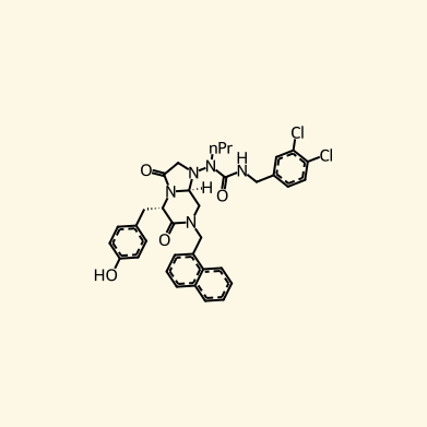 CCCN(C(=O)NCc1ccc(Cl)c(Cl)c1)N1CC(=O)N2[C@@H](Cc3ccc(O)cc3)C(=O)N(Cc3cccc4ccccc34)C[C@@H]21